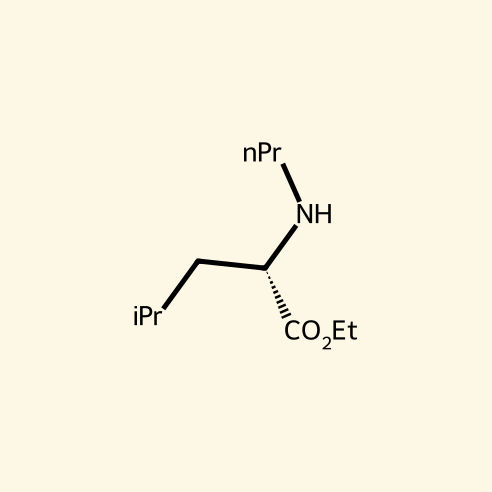 CCCN[C@@H](CC(C)C)C(=O)OCC